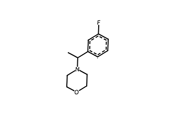 CC(c1[c]ccc(F)c1)N1CCOCC1